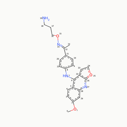 COc1ccc2c(Nc3ccc(C(C)=NOCCCN)cc3)c3ccoc3nc2c1